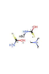 CCCCNC(O)=S.CN(C)C.NC(O)=S